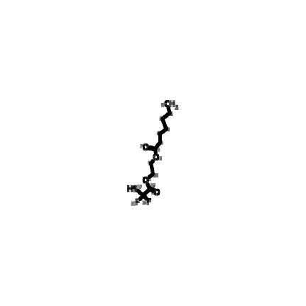 CCCCCCC(=O)OCCOC(=O)C(F)(F)S